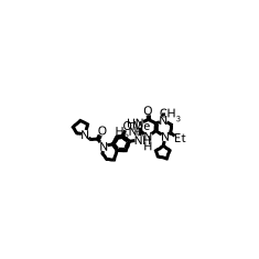 CCC1CN(C)C2=C(N[C@@](N)(Nc3cc4c(cc3OC)N(C(=O)CN3CCCC3)CCC4)NC2=O)N1C1CCCC1